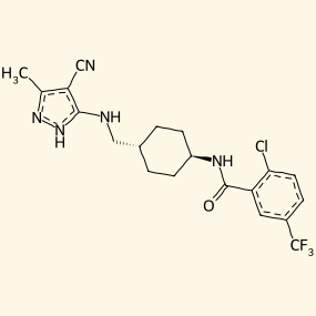 Cc1n[nH]c(NC[C@H]2CC[C@H](NC(=O)c3cc(C(F)(F)F)ccc3Cl)CC2)c1C#N